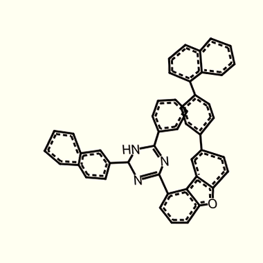 c1ccc(C2=NC(c3cccc4oc5ccc(-c6ccc(-c7cccc8ccccc78)cc6)cc5c34)=NC(c3ccc4ccccc4c3)N2)cc1